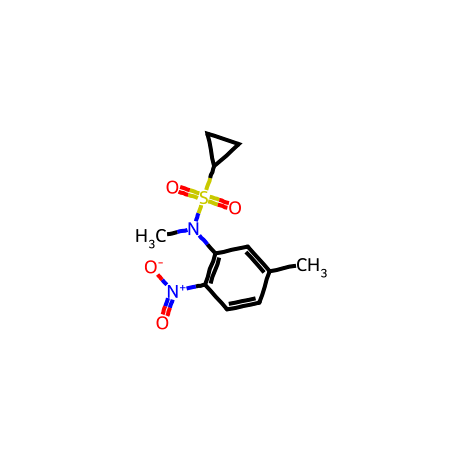 Cc1ccc([N+](=O)[O-])c(N(C)S(=O)(=O)C2CC2)c1